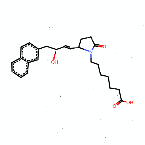 O=C(O)CCCCCCN1C(=O)CC[C@@H]1/C=C/[C@@H](O)Cc1ccc2ccccc2c1